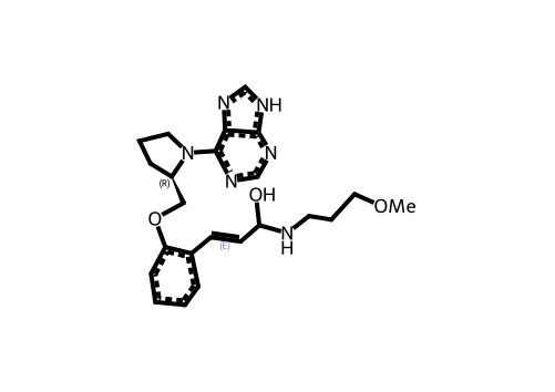 COCCCNC(O)/C=C/c1ccccc1OC[C@H]1CCCN1c1ncnc2[nH]cnc12